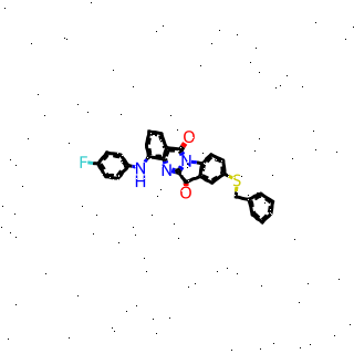 O=C1c2cc(SCc3ccccc3)ccc2-n2c1nc1c(Nc3ccc(F)cc3)cccc1c2=O